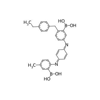 CCc1ccc(Cc2ccc(N=C3C=CC(=Nc4ccc(C)cc4B(O)O)C=C3)cc2B(O)O)cc1